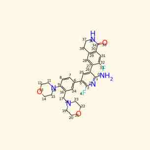 Nc1nc(F)c(-c2ccc(N3CCOCC3)c(CN3CCOCC3)c2)cc1-c1cc2c(cc1F)C(=O)NCC2